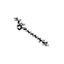 NN/C1=C(\NCCOCCOCCOCCOCCC(=O)NCCS(=O)(=O)O)CCCCCC1OCC(=O)NO